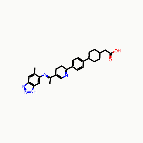 C/C(=N\c1cc2[nH]nnc2cc1C)C1=CN=C(c2ccc(C3CCC(CC(=O)O)CC3)cc2)CC1